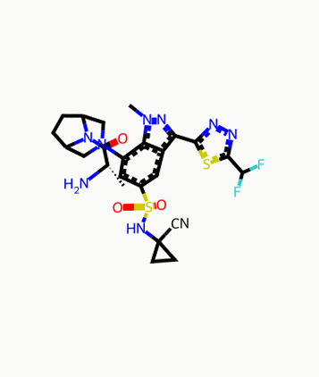 C[C@H](N)C(=O)N1C2CCC1CN(c1cc(S(=O)(=O)NC3(C#N)CC3)cc3c(-c4nnc(C(F)F)s4)nn(C)c13)C2